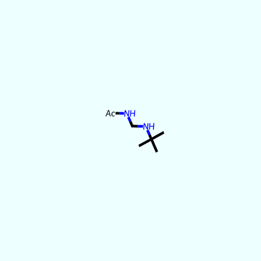 CC(=O)NCNC(C)(C)C